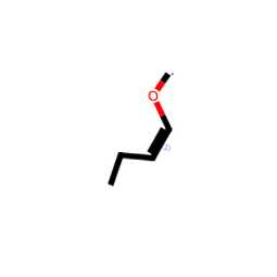 [CH2]O/C=C\CC